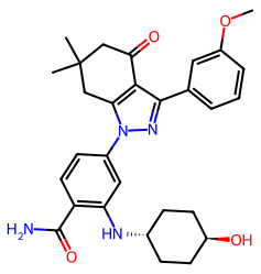 COc1cccc(-c2nn(-c3ccc(C(N)=O)c(N[C@H]4CC[C@H](O)CC4)c3)c3c2C(=O)CC(C)(C)C3)c1